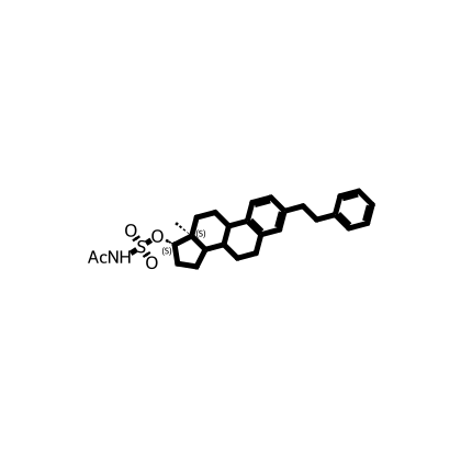 CC(=O)NS(=O)(=O)O[C@H]1CCC2C3CCc4cc(CCc5ccccc5)ccc4C3CC[C@@]21C